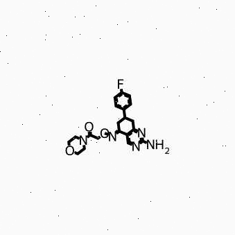 Nc1ncc2c(n1)CC(c1ccc(F)cc1)CC2=NOCC(=O)N1CCOCC1